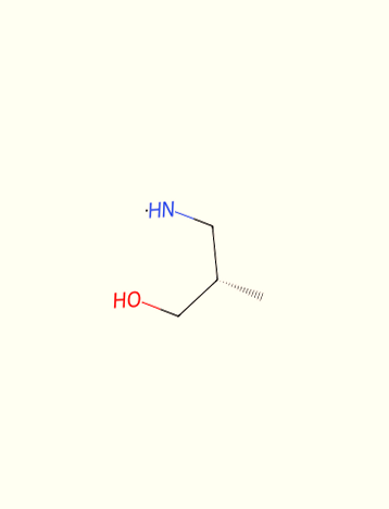 C[C@@H](C[NH])CO